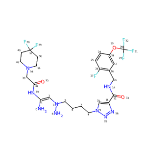 N/C(=C\N(N)CCCCn1cc(C(=O)NCc2cc(OC(F)(F)F)ccc2F)nn1)NC(=O)CN1CCC(F)(F)CC1